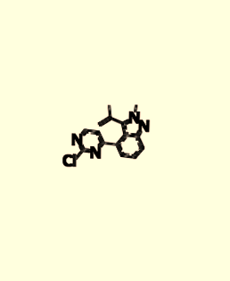 C=C(C)c1c2c(-c3ccnc(Cl)n3)cccc2nn1C